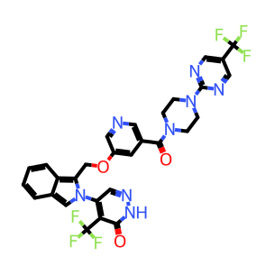 O=C(c1cncc(OCc2c3ccccc3cn2-c2cn[nH]c(=O)c2C(F)(F)F)c1)N1CCN(c2ncc(C(F)(F)F)cn2)CC1